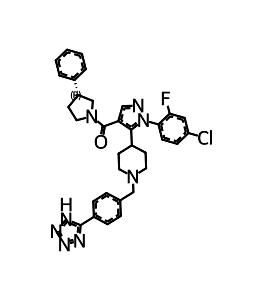 O=C(c1cnn(-c2ccc(Cl)cc2F)c1C1CCN(Cc2ccc(-c3nnn[nH]3)cc2)CC1)N1CC[C@H](c2ccccc2)C1